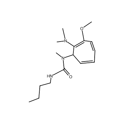 CCCCNC(=O)N(C)C1C=CC=CC(OC)=C1N(C)C